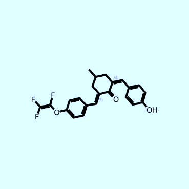 CC1C/C(=C/c2ccc(O)cc2)C(=O)/C(=C/c2ccc(OC(F)=C(F)F)cc2)C1